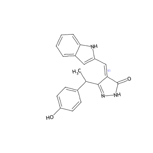 CC(C1=NNC(=O)/C1=C/c1cc2ccccc2[nH]1)c1ccc(O)cc1